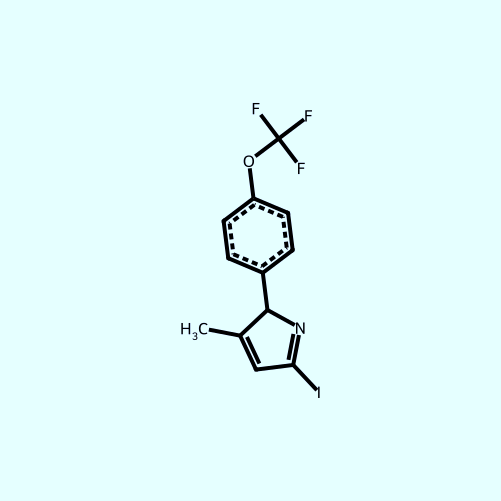 CC1=CC(I)=NC1c1ccc(OC(F)(F)F)cc1